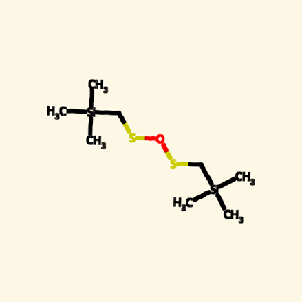 C[Si](C)(C)CSOSC[Si](C)(C)C